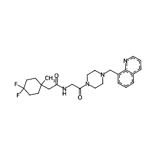 CC1(CC(=O)NCC(=O)N2CCN(Cc3cccc4cccnc34)CC2)CCC(F)(F)CC1